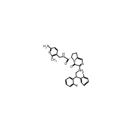 Cc1nc(N)ccc1CNC(=O)[C@@H]1CCc2cnc(NCC(c3ccccc3F)c3ccccc3F)c(=O)n21